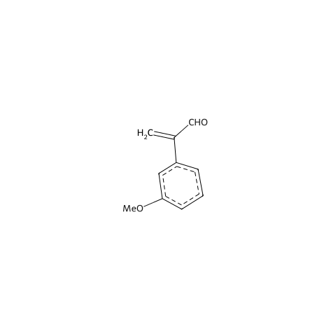 C=C(C=O)c1cccc(OC)c1